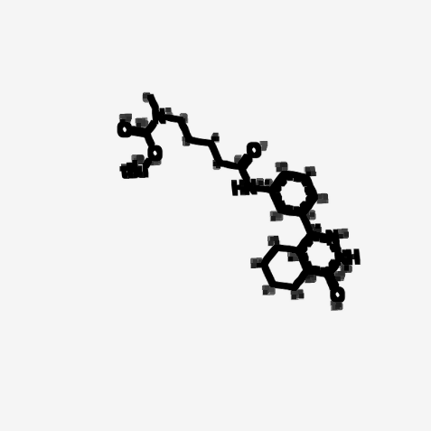 CN(CCCCC(=O)Nc1cccc(-c2n[nH]c(=O)c3c2CCCC3)c1)C(=O)OC(C)(C)C